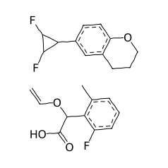 C=COC(C(=O)O)c1c(C)cccc1F.FC1C(F)C1c1ccc2c(c1)CCCO2